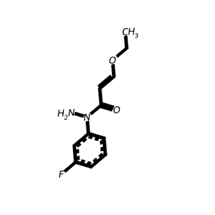 CCOC=CC(=O)N(N)c1cccc(F)c1